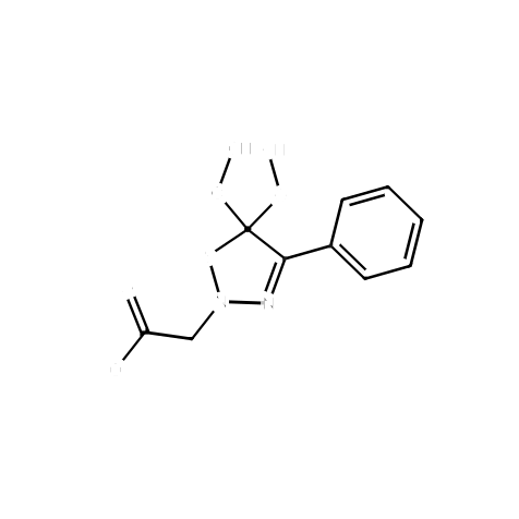 COC1(OC)SN(CC(=O)O)N=C1c1ccccc1